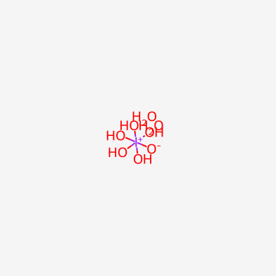 O.O.[O-][I+](O)(O)(O)(O)O